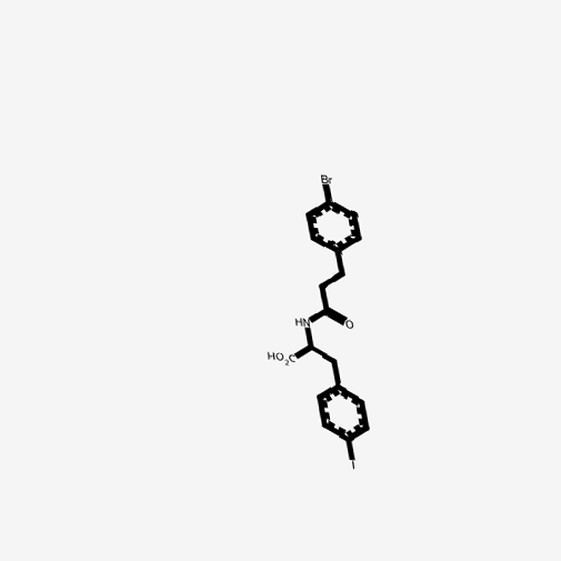 O=C(CCc1ccc(Br)cc1)NC(Cc1ccc(I)cc1)C(=O)O